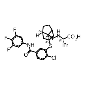 CC(C)[C@H](NC[C@@]1(O)C2CC[C@H]1C[C@H](Sc1cc(C(=O)Nc3cc(F)c(F)c(F)c3)ccc1Cl)C2)C(=O)O